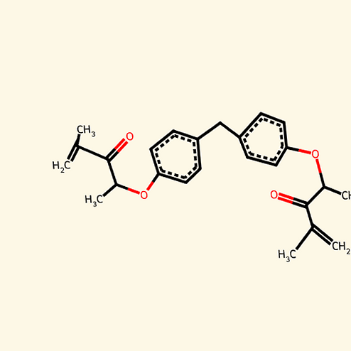 C=C(C)C(=O)C(C)Oc1ccc(Cc2ccc(OC(C)C(=O)C(=C)C)cc2)cc1